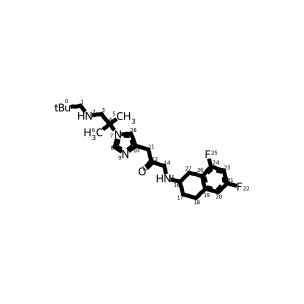 CC(C)(C)CNCC(C)(C)n1cnc(CC(=O)CNC2CCc3cc(F)cc(F)c3C2)c1